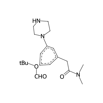 CC(C)(C)OC=O.CN(C)C(=O)Cc1cccc(N2CCNCC2)c1